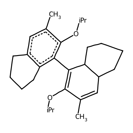 CC1=CC2CCCCC2C(c2c3c(cc(C)c2OC(C)C)CCCC3)=C1OC(C)C